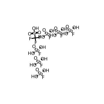 O=S(=O)(O)C(F)(F)F.[O]=[Sb]([OH])([OH])[F].[O]=[Sb]([OH])([OH])[F].[O]=[Sb]([OH])([OH])[F].[O]=[Sb]([OH])([OH])[F].[O]=[Sb]([OH])([OH])[F].[O]=[Sb]([OH])([OH])[F]